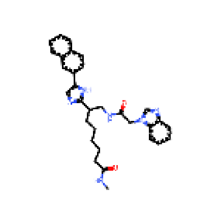 CNC(=O)CCCCCC(CNC(=O)Cn1cnc2ccccc21)c1ncc(-c2ccc3ccccc3c2)[nH]1